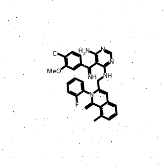 C=C1c2c(C)cccc2C=C(CNc2ncnc(N)c2C(=N)c2ccc(Cl)c(OC)c2)N1c1ccccc1F